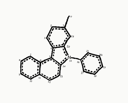 Cc1ccc2c3c4ccccc4ccc3n(-c3ccccc3)c2c1